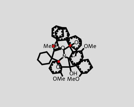 COc1ccccc1C(O)(c1ccccc1OC)[C@@H](Cc1ccccc1)N(C(=O)C1(C(N)=O)CCCCC1)[C@H](Cc1ccccc1)C(O)(c1ccccc1OC)c1ccccc1OC